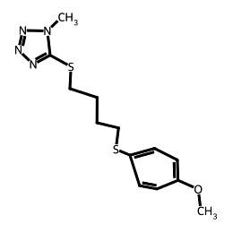 COc1ccc(SCCCCSc2nnnn2C)cc1